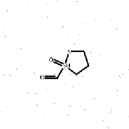 O=C[SH]1(=O)CCCS1